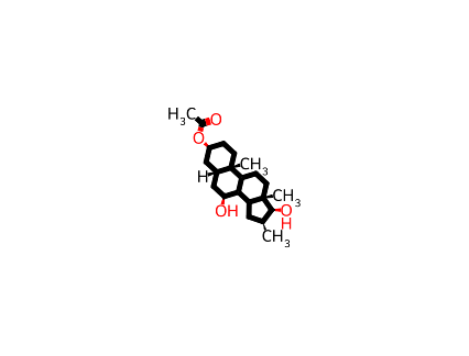 CC(=O)O[C@H]1CC[C@]2(C)C3CC[C@@]4(C)C(C[C@@H](C)[C@@H]4O)C3[C@@H](O)C[C@@H]2C1